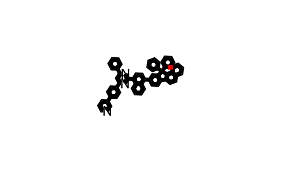 c1ccc(-c2cc(-c3ccc(-c4cccnc4)cc3)nc(-c3ccc(-c4ccc5c(c4)C(c4ccccc4)(c4ccccc4)c4c-5ccc5ccccc45)c4ccccc34)n2)cc1